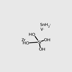 O[Si](O)(O)O.[SnH2].[V].[Zr]